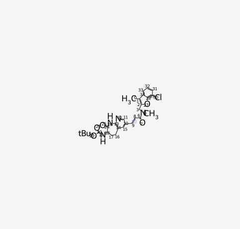 Cc1c(CN(C)C(=O)/C=C/c2cnc3c(c2)CCC(NC(=O)OC(C)(C)C)C(=O)N3)oc2c(Cl)cccc12